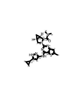 Cc1cc2nc(N3C[C@H]4C[C@H]4[C@H]3C(=O)N(C)C)nc(Nc3cc(C4CC4)[nH]n3)c2s1